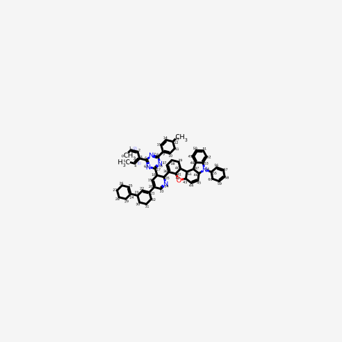 C/C=C\C(=C/C)c1nc(C2=CCC(C)C=C2)nc(C2C=C(C3=CC(C4=CCCCC4)CCC3)C=NC2C2=CCCC3C2OC2C=CC4C(C5=C=C=CC=C5N4C4C=CC=CC4)C23)n1